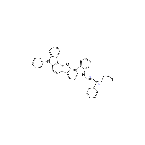 I\C=C/C=C(\C=C\n1c2ccccc2c2c3oc4c(ccc5c4c4ccccc4n5-c4ccccc4)c3ccc21)c1ccccc1